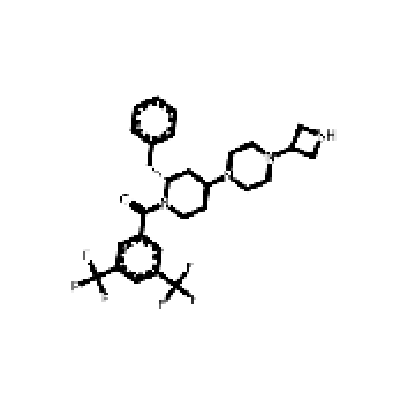 O=C(c1cc(C(F)(F)F)cc(C(F)(F)F)c1)N1CCC(N2CCN(C3CNC3)CC2)C[C@H]1Cc1ccccc1